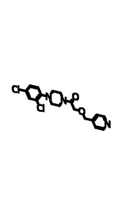 O=C(COCc1ccncc1)N1CCN(c2ccc(Cl)cc2Cl)CC1